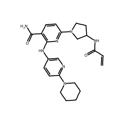 C=CC(=O)NC1CCN(c2ccc(C(N)=O)c(Nc3ccc(N4CCCCC4)nc3)n2)C1